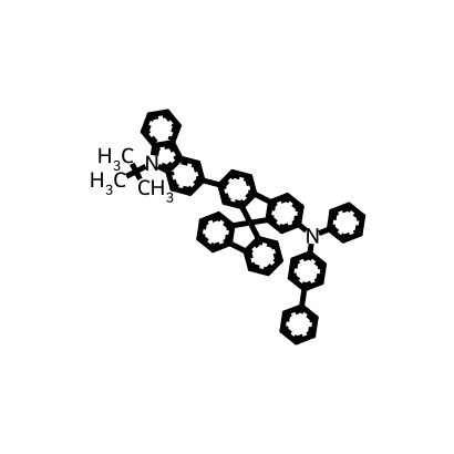 CC(C)(C)n1c2ccccc2c2cc(-c3ccc4c(c3)C3(c5ccccc5-c5ccccc53)c3cc(N(c5ccccc5)c5ccc(-c6ccccc6)cc5)ccc3-4)ccc21